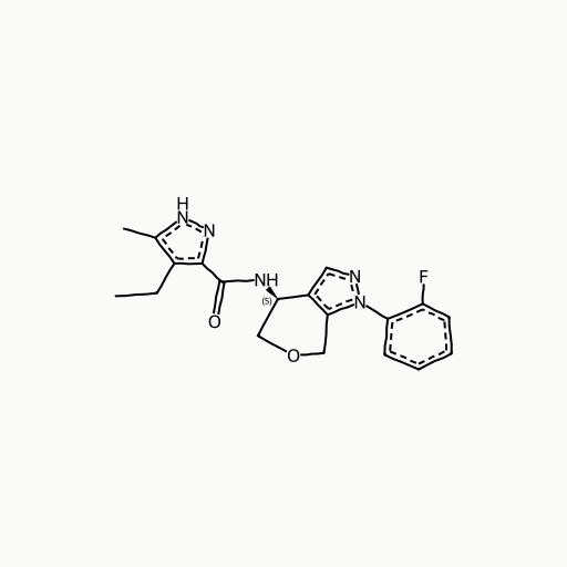 CCc1c(C(=O)N[C@@H]2COCc3c2cnn3-c2ccccc2F)n[nH]c1C